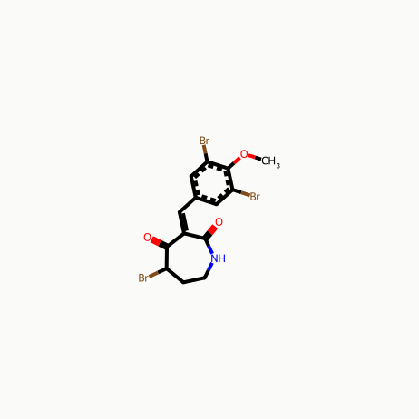 COc1c(Br)cc(C=C2C(=O)NCCC(Br)C2=O)cc1Br